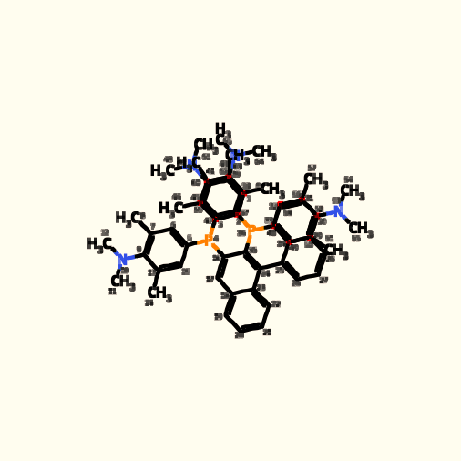 Cc1cc(P(c2cc(C)c(N(C)C)c(C)c2)c2cc3ccccc3c(-c3cccc4ccccc34)c2P(c2cc(C)c(N(C)C)c(C)c2)c2cc(C)c(N(C)C)c(C)c2)cc(C)c1N(C)C